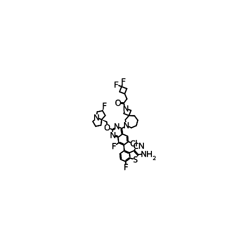 N#Cc1c(N)sc2c(F)ccc(-c3c(Cl)cc4c(N5CCCCC6(CN(C(=O)CC7CC(F)(F)C7)C6)C5)nc(OC[C@@]56CCCN5C[C@H](F)C6)nc4c3F)c12